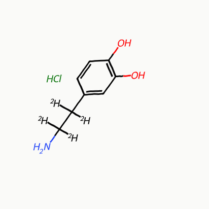 Cl.[2H]C([2H])(N)C([2H])([2H])c1ccc(O)c(O)c1